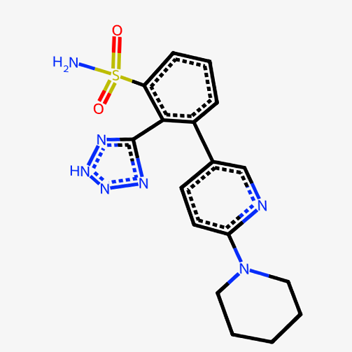 NS(=O)(=O)c1cccc(-c2ccc(N3CCCCC3)nc2)c1-c1nn[nH]n1